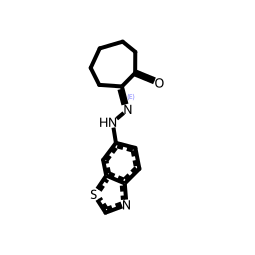 O=C1CCCCC/C1=N\Nc1ccc2ncsc2c1